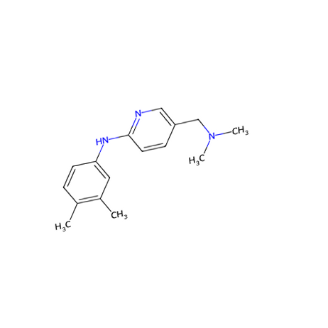 Cc1ccc(Nc2ccc(CN(C)C)cn2)cc1C